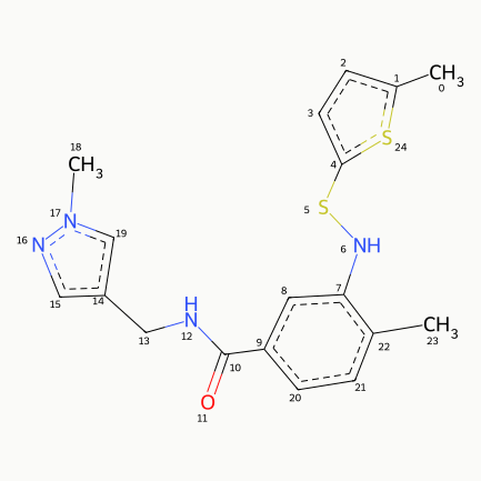 Cc1ccc(SNc2cc(C(=O)NCc3cnn(C)c3)ccc2C)s1